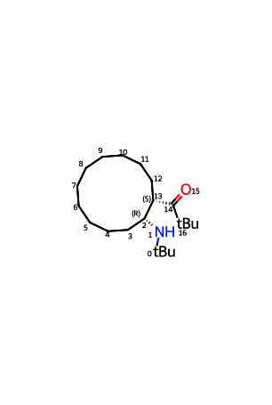 CC(C)(C)N[C@@H]1CCCCCCCCCC[C@@H]1C(=O)C(C)(C)C